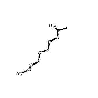 CC(N)OOOOOOOO